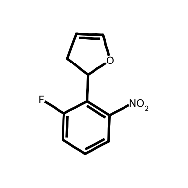 O=[N+]([O-])c1cccc(F)c1C1CC=CO1